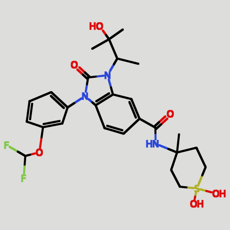 CC(n1c(=O)n(-c2cccc(OC(F)F)c2)c2ccc(C(=O)NC3(C)CCS(O)(O)CC3)cc21)C(C)(C)O